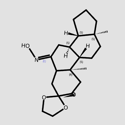 C[C@@]12CCC[C@H]1[C@@H]1C/C(=N\O)C3CC4(OCCO4)C4(C[C@]3(C)[C@H]1CC2)OCCO4